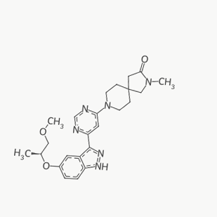 COC[C@H](C)Oc1ccc2[nH]nc(-c3cc(N4CCC5(CC4)CC(=O)N(C)C5)ncn3)c2c1